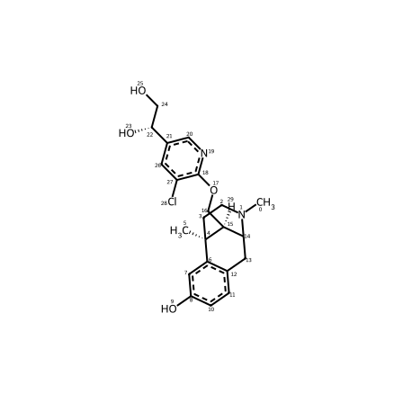 CN1CC[C@]2(C)c3cc(O)ccc3CC1[C@@H]2COc1ncc([C@H](O)CO)cc1Cl